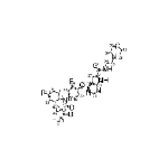 NC(=O)C1(C(=O)N(c2ccc(F)cc2)c2ccc(Oc3ncnc4[nH]c(C(=O)NCCN5CCOCC5)cc34)c(F)c2)CC1